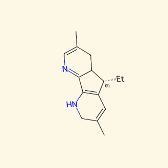 CC[C@@H]1C2=C(NCC(C)=C2)C2=NC=C(C)CC21